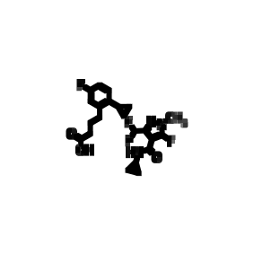 Cn1nc(C(F)F)c(C(=O)NC2CC2)c1F.O=C(O)CCCc1cc(F)ccc1C1CC1